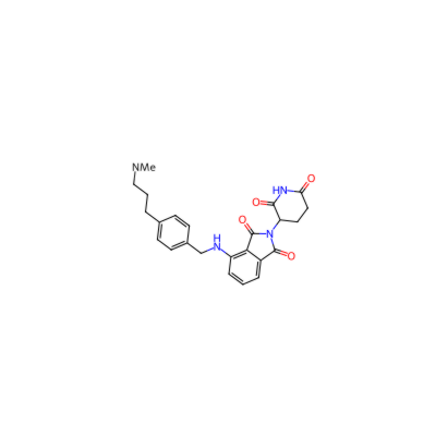 CNCCCc1ccc(CNc2cccc3c2C(=O)N(C2CCC(=O)NC2=O)C3=O)cc1